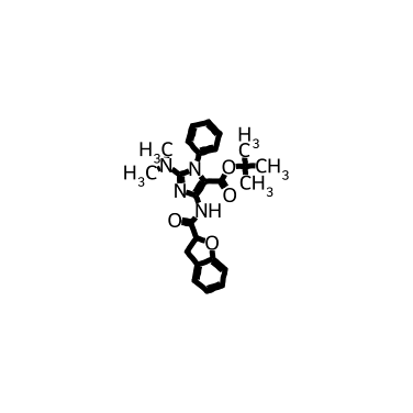 CN(C)c1nc(NC(=O)C2Cc3ccccc3O2)c(C(=O)OC(C)(C)C)n1-c1ccccc1